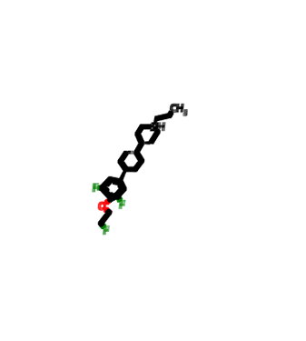 CCC[Si@H]1CC[C@H]([C@H]2CC[C@H](c3cc(F)c(OCCF)c(F)c3)CC2)CC1